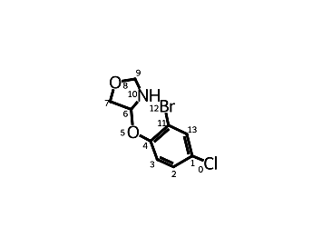 Clc1ccc(OC2COCN2)c(Br)c1